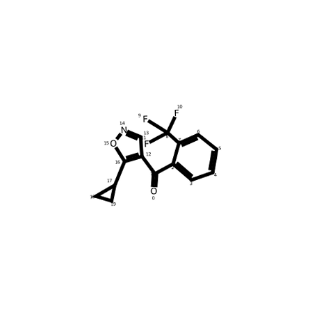 O=C(c1ccccc1C(F)(F)F)c1cnoc1C1CC1